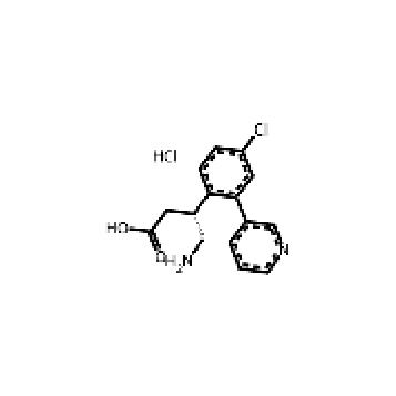 Cl.NC[C@H](CC(=O)O)c1ccc(Cl)cc1-c1cccnc1